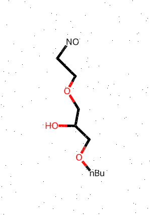 CCCCOCC(O)COCCN=O